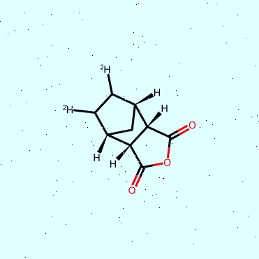 [2H]C1C([2H])[C@@H]2C[C@H]1[C@@H]1C(=O)OC(=O)[C@@H]12